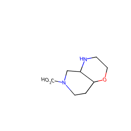 O=C(O)N1CCC2OCCNC2C1